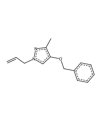 C=CCn1cc(OCc2ccccc2)c(C)n1